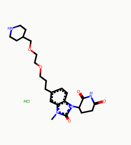 Cl.Cn1c(=O)n(C2CCC(=O)NC2=O)c2ccc(CCCOCCOCC3CCNCC3)cc21